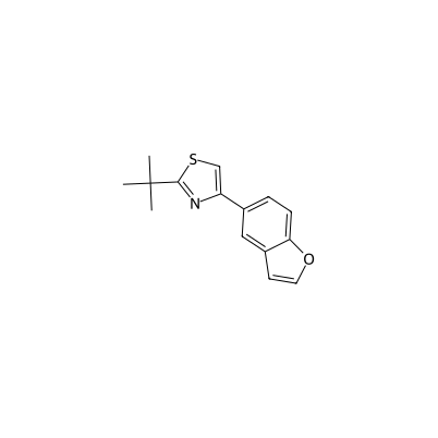 CC(C)(C)c1nc(-c2ccc3occc3c2)cs1